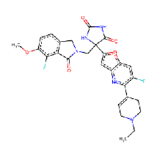 CCN1CC=C(c2nc3cc(C4(CN5Cc6ccc(OC)c(F)c6C5=O)NC(=O)NC4=O)oc3cc2F)CC1